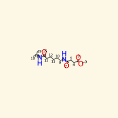 COC(=O)CCC(=O)NCCCCCC(=O)NC(C)C